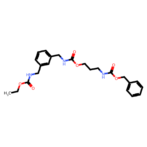 CCOC(=O)NCc1cccc(CNC(=O)OCCCNC(=O)OCc2ccccc2)c1